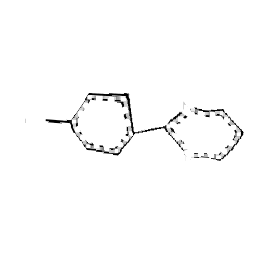 [CH2]CCc1ccc(-c2ncccn2)cc1